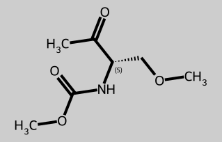 COC[C@H](NC(=O)OC)C(C)=O